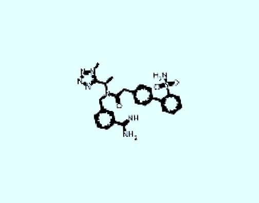 CC(c1nnnn1C)N(Cc1cccc(C(=N)N)c1)C(=O)Cc1ccc(-c2ccccc2S(N)(=O)=O)cc1